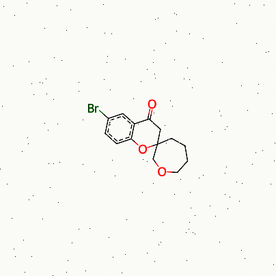 O=C1CC2(CCCCOC2)Oc2ccc(Br)cc21